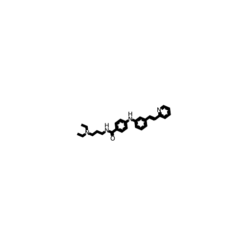 CCN(CC)CCCNC(=O)c1ccc(Nc2cccc(C=Cc3ccccn3)c2)cc1